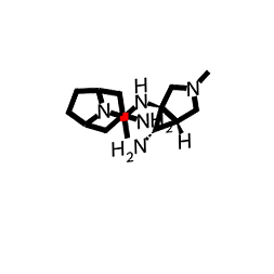 CC(N[C@@]12CN(C)C[C@@H]1[C@@H]2N)N1C2CCC1CC(N)C2